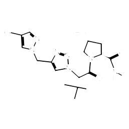 CNC(=O)[C@@H]1C[C@@H](O)CN1C(=O)[C@@H](n1cc(Cn2cc(Cl)cn2)nn1)C(C)(C)C